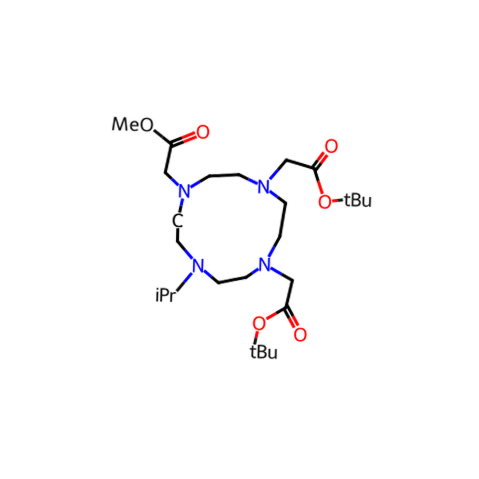 COC(=O)CN1CCN(CC(=O)OC(C)(C)C)CCN(CC(=O)OC(C)(C)C)CCN(C(C)C)CC1